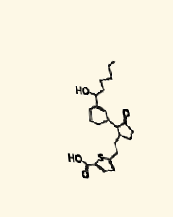 CCCCCC(O)C1=CC(C2C(=O)CCC2CCc2ccc(C(=O)O)s2)CC=C1